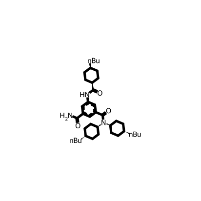 CCCC[C@H]1CC[C@@H](C(=O)Nc2cc(C(N)=O)cc(C(=O)N([C@H]3CC[C@@H](CCCC)CC3)[C@H]3CC[C@@H](CCCC)CC3)c2)CC1